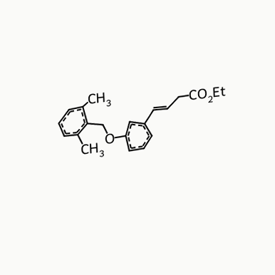 CCOC(=O)C/C=C/c1cccc(OCc2c(C)cccc2C)c1